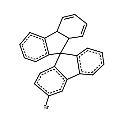 Brc1ccc2c(c1)-c1ccccc1C21c2ccccc2C2C=CC=CC21